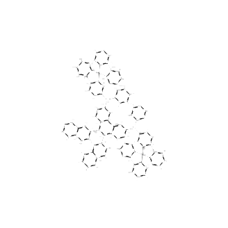 c1ccc(N(c2ccc3c(c2)C2(c4ccccc4-c4ccccc42)c2ccccc2-3)c2ccc3c(-c4ccc5ccccc5c4)c(-c4ccc5ccccc5c4)c4ccc(N(c5ccccc5)c5ccc6c(c5)C5(c7ccccc7-c7ccccc75)c5ccccc5-6)cc4c3c2)cc1